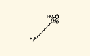 CCCCCCCCCCCCCCP.O=C(O)c1ccccc1[N+](=O)[O-]